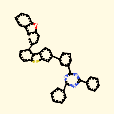 c1ccc(-c2nc(-c3ccccc3)nc(-c3cccc(-c4ccc5c(c4)sc4cccc(-c6ccc7oc8ccccc8c7c6)c45)c3)n2)cc1